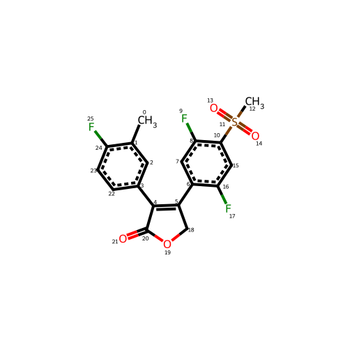 Cc1cc(C2=C(c3cc(F)c(S(C)(=O)=O)cc3F)COC2=O)ccc1F